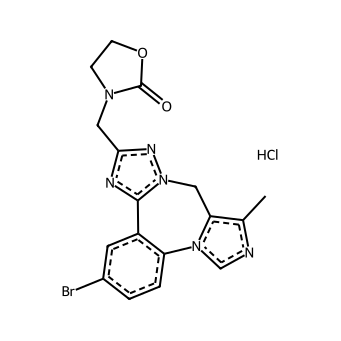 Cc1ncn2c1Cn1nc(CN3CCOC3=O)nc1-c1cc(Br)ccc1-2.Cl